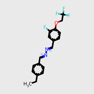 CCc1ccc(/C=N/N=C/c2ccc(OCC(F)(F)F)c(F)c2)cc1